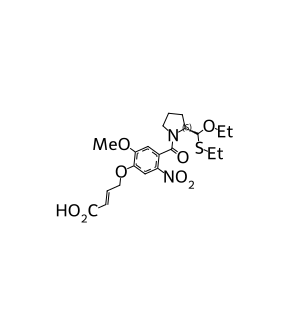 CCOC(SCC)[C@@H]1CCCN1C(=O)c1cc(OC)c(OCC=CC(=O)O)cc1[N+](=O)[O-]